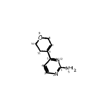 Nc1nccc(C2=CCOCC2)n1